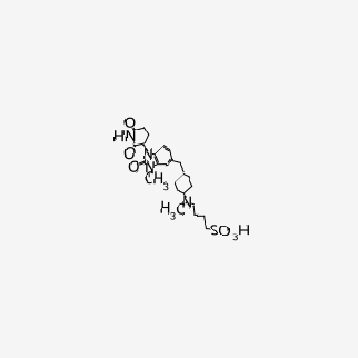 CN(CCCCS(=O)(=O)O)C1CCC(Cc2ccc3c(c2)n(C)c(=O)n3C2CCC(=O)NC2=O)CC1